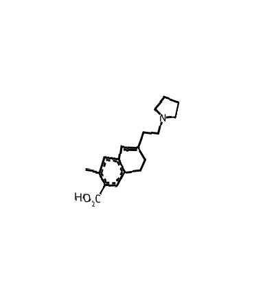 Cc1cc2c(cc1C(=O)O)CCC(CCN1CCCC1)=C2